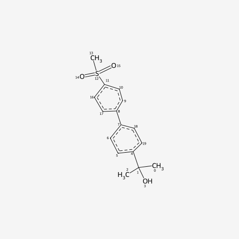 CC(C)(O)c1ccc(-c2ccc(S(C)(=O)=O)cc2)cc1